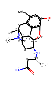 COc1cc(O)c2c3c1C[C@@H]1[C@@H]4CC[C@H](N[C@@H](CC(N)=O)C(=O)O)[C@H](O2)[C@]34CCN1C